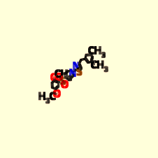 COc1ccc(OC)c(S(=O)(=O)C2CCN(c3nc(Cc4cc(C)cc(C)c4)cs3)CC2)c1